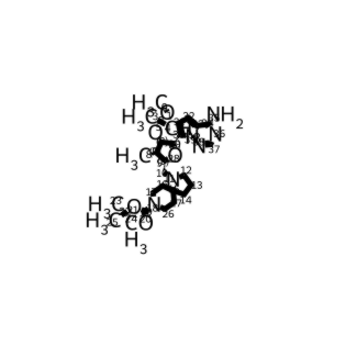 COC(C)(C)O[C@@H]1[C@H](C)[C@@H](CN2CCCC23CCN(C(=O)OC(C)(C)C)CC3)O[C@H]1c1ccc2c(N)ncnn12